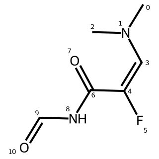 CN(C)/C=C(/F)C(=O)NC=O